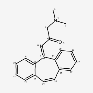 CN(C)CC(=O)N=S1c2ccccc2C=Cc2ccccc21